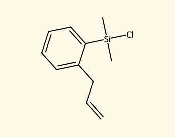 C=CCc1ccccc1[Si](C)(C)Cl